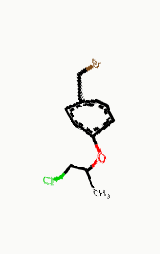 CC(CCl)Oc1ccc(CBr)cc1